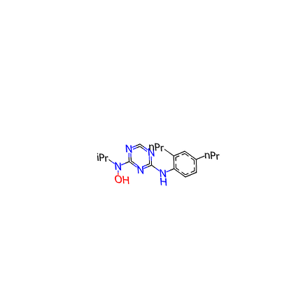 CCCc1ccc(Nc2ncnc(N(O)C(C)C)n2)c(CCC)c1